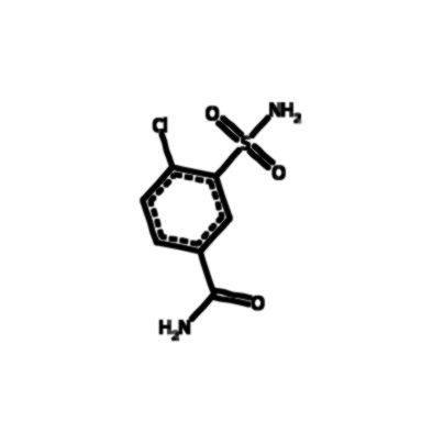 NC(=O)c1ccc(Cl)c(S(N)(=O)=O)c1